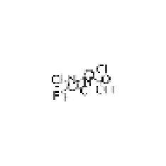 O=C(O)c1nc(-c2nc(Cl)c(C(F)(F)F)cc2Cl)ccc1Cl